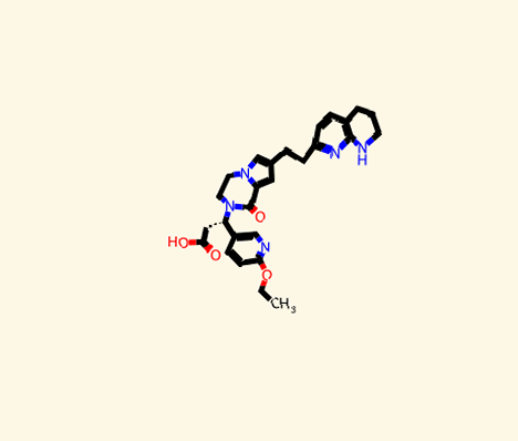 CCOc1ccc([C@H](CC(=O)O)N2CCn3cc(CCc4ccc5c(n4)NCCC5)cc3C2=O)cn1